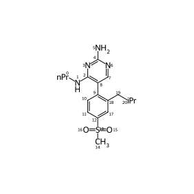 CCCNc1nc(N)ncc1-c1ccc(S(C)(=O)=O)cc1CC(C)C